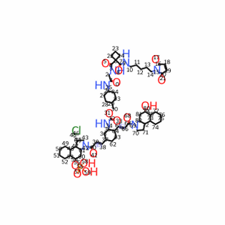 O=C(CNC(=O)C1(C(=O)NCCCCCN2C(=O)C=CC2=O)CCC1)NC1CCC(COC(=O)NC2CC(/C=C/C(=O)N3C[C@@H](CCl)C4C5CCCCC5C(OP(=O)(O)O)CC43)CCC2/C=C/C(=O)N2CCC3C4CCCCC4C(O)CC32)CC1